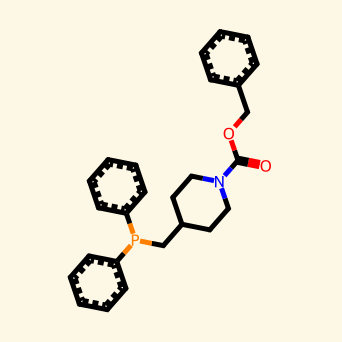 O=C(OCc1ccccc1)N1CCC(CP(c2ccccc2)c2ccccc2)CC1